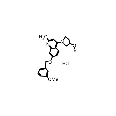 CCOC1CCN(c2cc(C)nc3cc(OCc4cccc(OC)c4)ccc23)C1.Cl